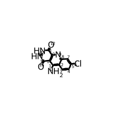 Nc1c2ccc(Cl)cc2nc2c(=O)[nH][nH]c(=O)c12